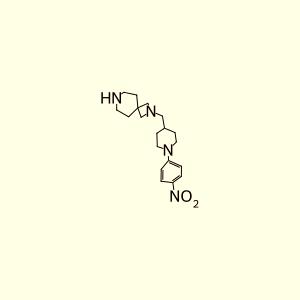 O=[N+]([O-])c1ccc(N2CCC(CN3CC4(CCNCC4)C3)CC2)cc1